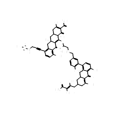 COc1ccc(CNCC(C)OC2=C3C(=O)c4c(O)ccc(C#CCNS(C)(=O)=O)c4C[C@H]3CC3CC(O)=C(C(N)=O)C(=O)[C@@]23O)cc1-c1ccc(O)c2c1CC1CC(C/C(O)=C(\C=O)C(N)=O)CC(O)=C1C2=O